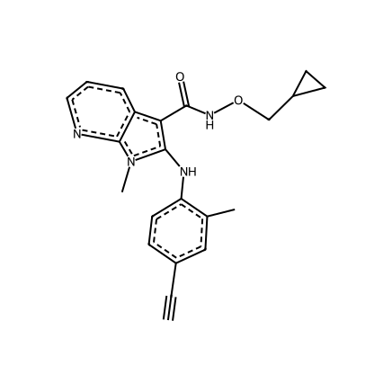 C#Cc1ccc(Nc2c(C(=O)NOCC3CC3)c3cccnc3n2C)c(C)c1